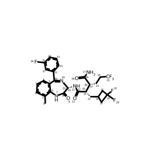 Cc1cccc2c1NC(=O)[C@@H](NC(=O)[C@@H](CC1CC(F)(F)C1)[C@@H](CCC(F)(F)F)C(N)=O)N=C2c1cccc(F)c1